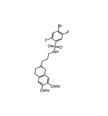 COc1cc2c(cc1OC)CN(CCCNS(=O)(=O)c1cc(F)c(Br)cc1F)CC2